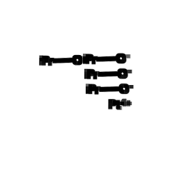 CC(C)[O-].CC(C)[O-].CC(C)[O-].CC(C)[O-].[Pt+4]